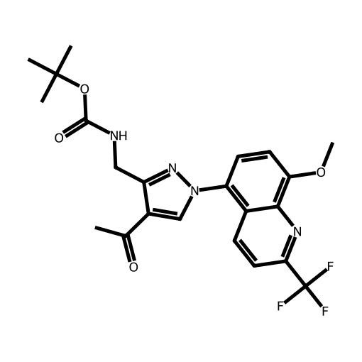 COc1ccc(-n2cc(C(C)=O)c(CNC(=O)OC(C)(C)C)n2)c2ccc(C(F)(F)F)nc12